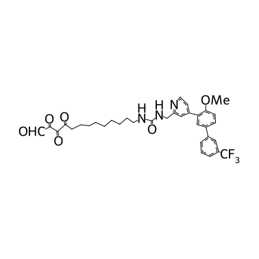 COc1ccc(-c2cccc(C(F)(F)F)c2)cc1-c1ccnc(CNC(=O)NCCCCCCCCCC(=O)C(=O)C(=O)C=O)c1